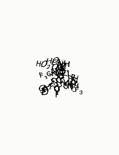 CC(C)(C#Cc1ccc(-c2ccc(Cl)c3c(N(C(=O)N[C@](C)(CO)CC(=O)O)S(C)(=O)=O)nn(CC(F)(F)F)c23)c([C@H](Cc2cc(F)cc(F)c2)NC(=O)Cn2nc(C(F)(F)F)c3c2C(F)(F)[C@@H]2C[C@H]32)n1)S(C)(=O)=O